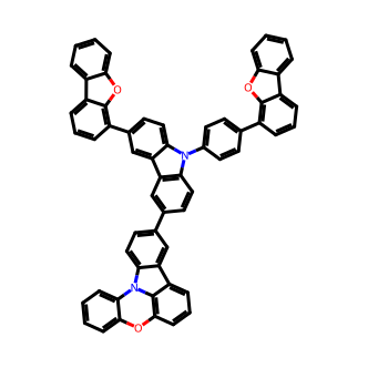 c1ccc2c(c1)Oc1cccc3c4cc(-c5ccc6c(c5)c5cc(-c7cccc8c7oc7ccccc78)ccc5n6-c5ccc(-c6cccc7c6oc6ccccc67)cc5)ccc4n-2c13